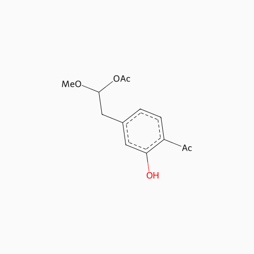 COC(Cc1ccc(C(C)=O)c(O)c1)OC(C)=O